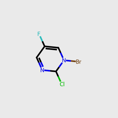 FC1=CN(Br)C(Cl)N=C1